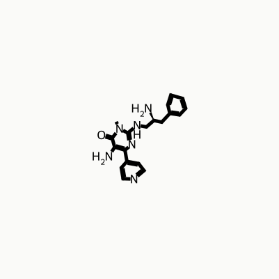 Cn1c(NC[C@@H](N)Cc2ccccc2)nc(-c2ccncc2)c(N)c1=O